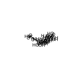 CC(=O)NC1C(O[C@@H]2OC(CO)[C@H](O)C(OCC(=O)O)C2O)[C@@H](O)C(CO)O[C@H]1OC1C(O)[C@@H](O[C@H]2C(CO)O[C@@H](OC3C(O)[C@H](OCCCCCNC(=O)CCSC4CC(=O)NC4=O)OC(CO)[C@@H]3O)C(O)C2O)OC(CO)[C@@H]1O